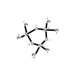 CC(C)[Si]1(C(C)C)O[Si](C(C)C)(C(C)C)O[Si](C(C)C)(C(C)C)O1